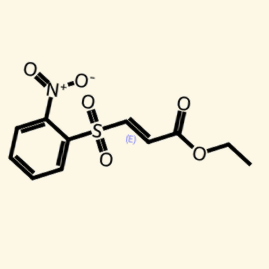 CCOC(=O)/C=C/S(=O)(=O)c1ccccc1[N+](=O)[O-]